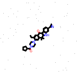 CCc1cc2c(cc1N1CCN(C(=O)C3CCCC3)CC1)C(C)(C)c1[nH]c3cc(C4C=N4)ccc3c1C2=O